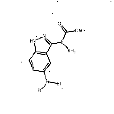 CCN(CC)c1ccc2[nH]nc(N(N)C(=O)OC)c2c1